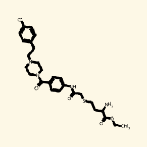 CCOC(=O)C(N)CCSCC(=O)Nc1ccc(C(=O)N2CCN(CCc3ccc(Cl)cc3)CC2)cc1